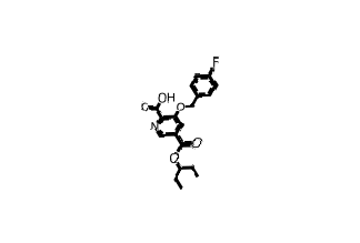 CCC(CC)OC(=O)c1cnc(C(=O)O)c(OCc2ccc(F)cc2)c1